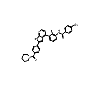 Cc1c(NC(=O)c2ccc(C(C)(C)C)cc2)cccc1-c1ncnc2[nH]c(-c3ccc(C(=O)N4CCCCC4)cc3)cc12